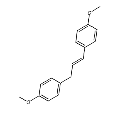 COc1ccc(C=CCc2ccc(OC)cc2)cc1